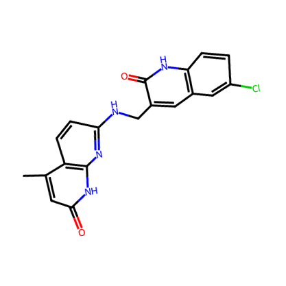 Cc1cc(=O)[nH]c2nc(NCc3cc4cc(Cl)ccc4[nH]c3=O)ccc12